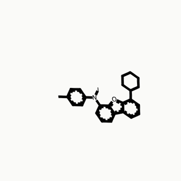 Cc1ccc(N(I)c2cccc3c2oc2c(C4CCCCC4)cccc23)cc1